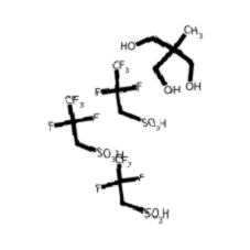 CC(CO)(CO)CO.O=S(=O)(O)CC(F)(F)C(F)(F)F.O=S(=O)(O)CC(F)(F)C(F)(F)F.O=S(=O)(O)CC(F)(F)C(F)(F)F